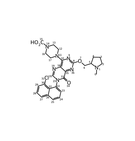 CN1CCCC1COc1nc(N2CCN(C(=O)O)CC2)c2ncn(-c3cccc4cccc(Cl)c34)c(=O)c2n1